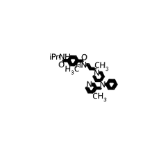 Cc1ccncc1CN(c1ccccc1)C1CCN(C(C)CCNC(=O)c2ccc(C(=O)NC(C)C)cc2C)CC1